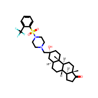 C[C@]12CC[C@](O)(CN3CCN(S(=O)(=O)c4ccccc4C(F)(F)F)CC3)C[C@@H]1CC[C@@H]1[C@@H]2CC[C@]2(C)C(=O)CC[C@@H]12